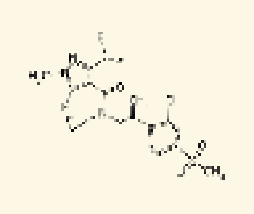 C=C(CN(C(=O)c1c(C(F)F)nn(C)c1F)C1CC1)c1ccc(S(C)(=O)=O)cc1Cl